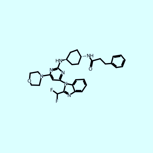 O=C(CCc1ccccc1)N[C@H]1CC[C@H](Nc2nc(N3CCOCC3)cc(-n3c(C(F)F)nc4ccccc43)n2)CC1